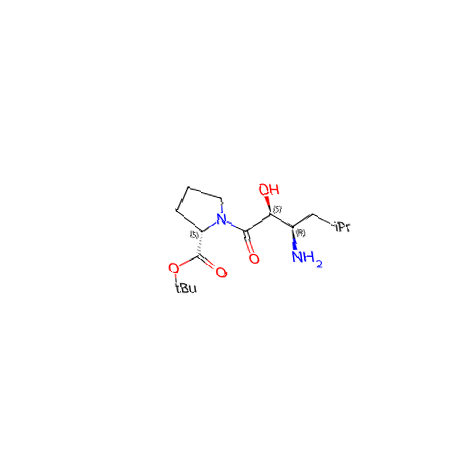 CC(C)C[C@@H](N)[C@H](O)C(=O)N1CCC[C@H]1C(=O)OC(C)(C)C